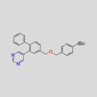 CC(C)(C)c1ccc(COCc2ccc(-c3ccccc3)c(-c3cncnc3)c2)cc1